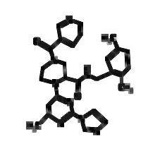 Cc1ccc(C)c(CNC(=O)C2CN(C(=O)c3cccnc3)CCN2c2cc(C)nc(-n3ccnc3)n2)c1